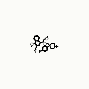 COCC(OCC1(c2ccc(F)cc2)CCN(C)CC1)c1cc(C#N)c(OC)c2ccccc12